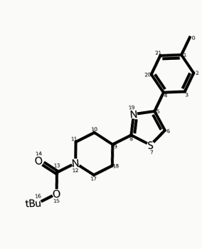 Cc1ccc(-c2csc(C3CCN(C(=O)OC(C)(C)C)CC3)n2)cc1